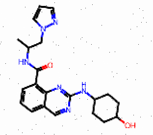 CC(Cn1cccn1)NC(=O)c1cccc2cnc(NC3CCC(O)CC3)nc12